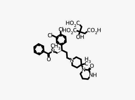 CN(C[C@@H](CCN1CCC(C)(N2CCCNC2=O)CC1)c1ccc(Cl)c(Cl)c1)C(=O)c1ccccc1.O=C(O)CC(O)(CC(=O)O)C(=O)O